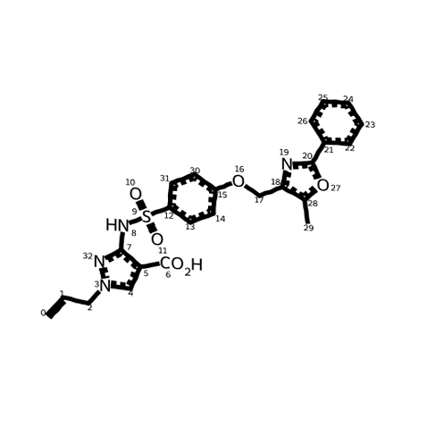 C=CCn1cc(C(=O)O)c(NS(=O)(=O)c2ccc(OCc3nc(-c4ccccc4)oc3C)cc2)n1